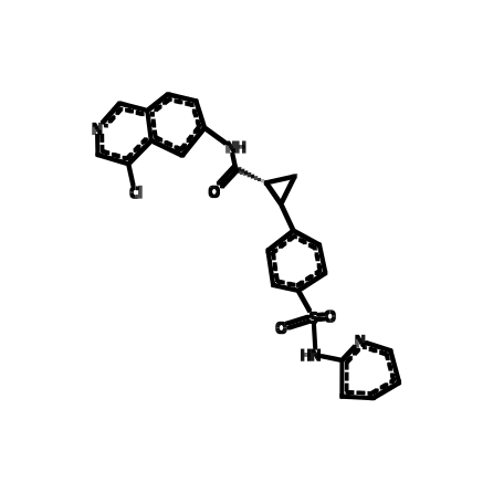 O=C(Nc1ccc2cncc(Cl)c2c1)[C@@H]1CC1c1ccc(S(=O)(=O)Nc2ccccn2)cc1